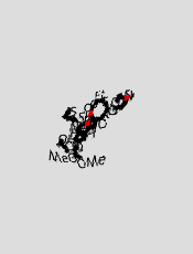 CC[C@H]1CCC[C@H](O[C@H]2CC[C@H](N(C)C)C(C)O2)[C@@H](C)C(=O)C2=C[C@H]3[C@@H]4C[C@H](OC(OC(C)[C@@H](C)O)[C@H](COC)OC)C[C@H]4c4nc(-c5cccs5)sc4[C@H]3[C@@H]2CC(=O)O1